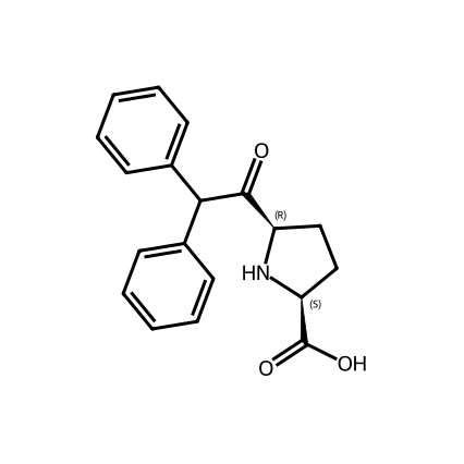 O=C(O)[C@@H]1CC[C@H](C(=O)C(c2ccccc2)c2ccccc2)N1